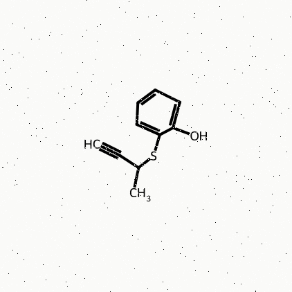 C#CC(C)Sc1ccccc1O